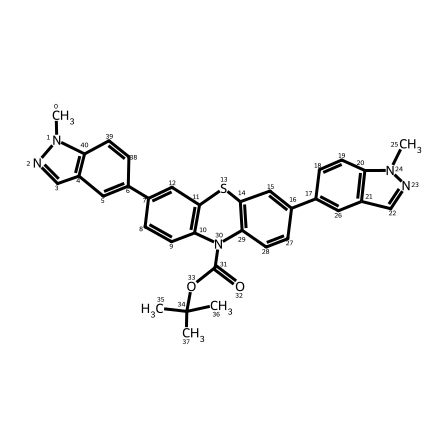 Cn1ncc2cc(-c3ccc4c(c3)Sc3cc(-c5ccc6c(cnn6C)c5)ccc3N4C(=O)OC(C)(C)C)ccc21